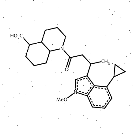 COn1cc(C(C)CC(=O)N2CCCC3C(C(=O)O)CCCC32)c2c(C3CC3)cccc21